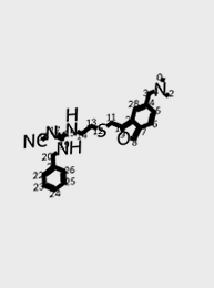 CN(C)Cc1ccc2coc(CSCCNC(=NC#N)NCc3ccccc3)c2c1